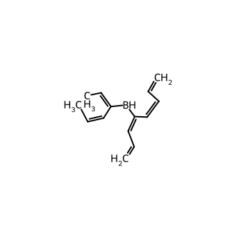 C=C/C=C\C(BC(/C=C\C)=C/C)=C/C=C